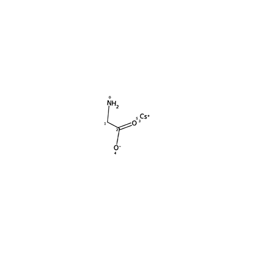 NCC(=O)[O-].[Cs+]